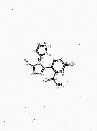 CC1=NN=C(c2ccc(=O)oc2C(N)=O)[SH]1c1cc[nH]n1